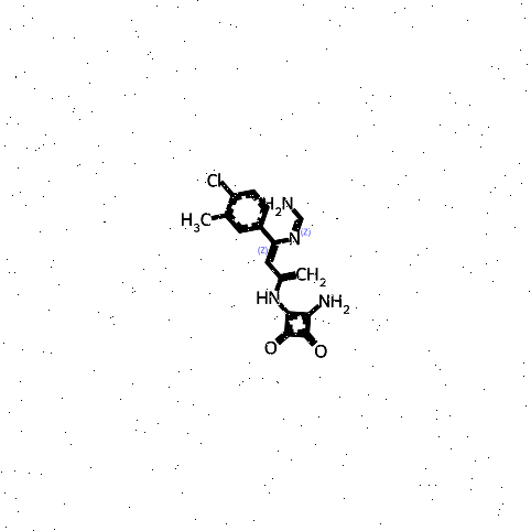 C=C(/C=C(\N=C/N)c1ccc(Cl)c(C)c1)Nc1c(N)c(=O)c1=O